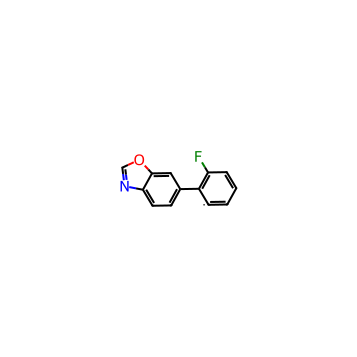 Fc1ccc[c]c1-c1ccc2ncoc2c1